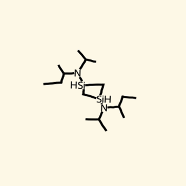 CCC(C)N(C(C)C)[SiH]1C[SiH](N(C(C)C)C(C)CC)C1